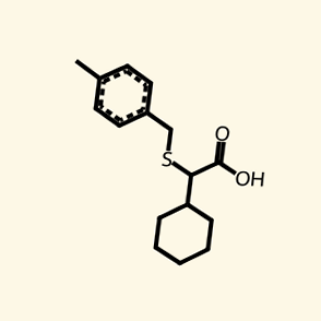 Cc1ccc(CSC(C(=O)O)C2CCCCC2)cc1